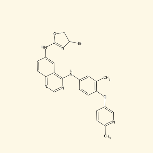 CCC1COC(Nc2ccc3ncnc(Nc4ccc(Oc5ccc(C)nc5)c(C)c4)c3c2)=N1